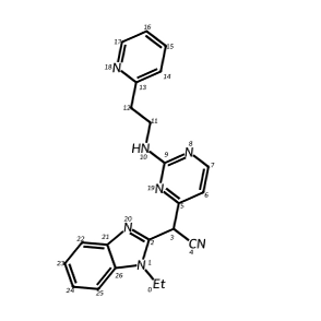 CCn1c(C(C#N)c2ccnc(NCCc3ccccn3)n2)nc2ccccc21